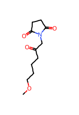 COCCCCC(=O)CN1C(=O)CCC1=O